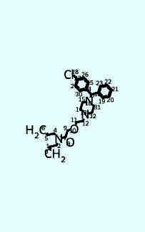 C=CCN(CC=C)C(=O)COCCN1CCN(C(c2ccccc2)c2ccc(Cl)cc2)CC1